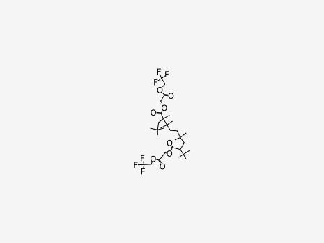 CC(C)(C)CC(C)(C(=O)OCC(=O)OCC(F)(F)F)C(C)(C)CCC(C)(C)CC(C(=O)OCC(=O)OCC(F)(F)F)C(C)(C)C